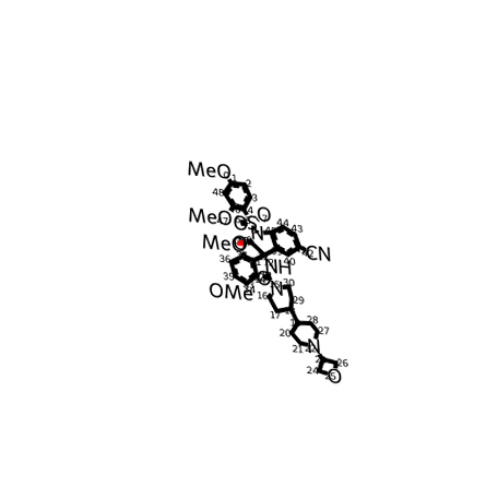 COc1ccc(S(=O)(=O)N2C(=O)[C@@](NC(=O)N3CCC(C4CCN(C5COC5)CC4)CC3)(c3cc(OC)ccc3OC)c3cc(C#N)ccc32)c(OC)c1